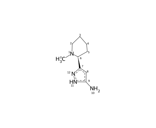 CN1CCCC[C@H]1c1cc(N)[nH]n1